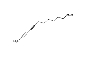 CCCCCCCCCCCCCCC#CC#CC(=O)O